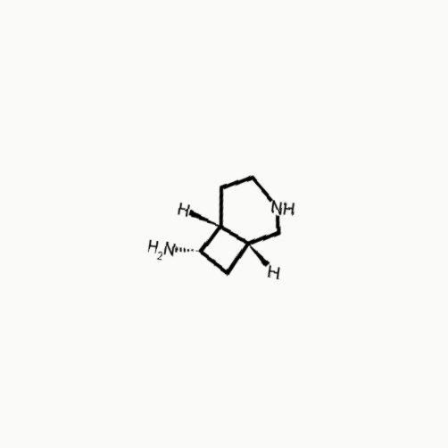 N[C@H]1C[C@H]2CNCC[C@H]21